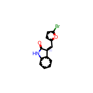 O=C1Nc2ccccc2/C1=C/c1ccc(Br)o1